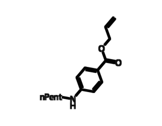 C=CCOC(=O)c1ccc(NCCCCC)cc1